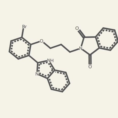 O=C1c2ccccc2C(=O)N1CCCOc1c(Br)cccc1-c1nc2ccccc2[nH]1